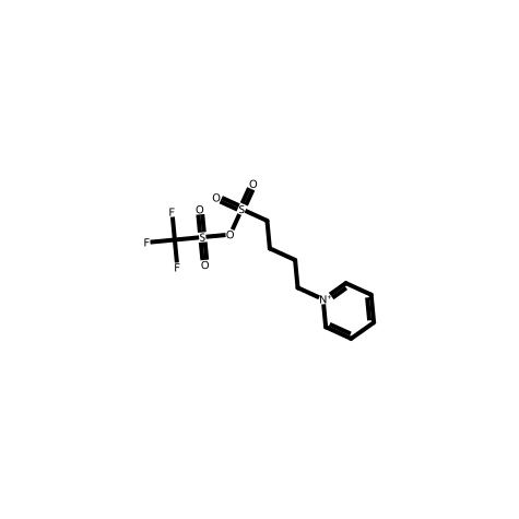 O=S(=O)(CCCC[n+]1ccccc1)OS(=O)(=O)C(F)(F)F